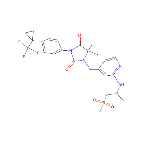 CC(CS(C)(=O)=O)Nc1cc(CN2C(=O)N(c3ccc(C4(C(F)(F)F)CC4)cc3)C(=O)C2(C)C)ccn1